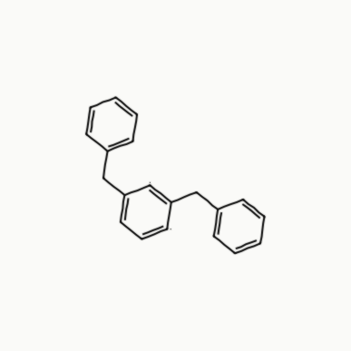 [c]1ccc(Cc2ccccc2)[c]c1Cc1ccccc1